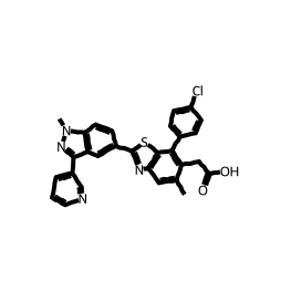 Cc1cc2nc(-c3ccc4c(c3)c(-c3cccnc3)nn4C)sc2c(-c2ccc(Cl)cc2)c1CC(=O)O